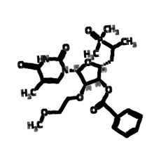 COCCO[C@@H]1[C@H](OC(=O)c2ccccc2)[C@@H](CC(C)P(C)(C)=O)O[C@H]1n1cc(C)c(=O)[nH]c1=O